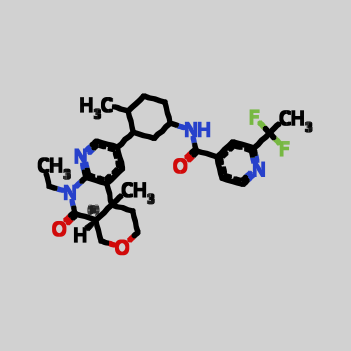 CCN1C(=O)[C@H]2COCCC2(C)c2cc(C3CC(NC(=O)c4ccnc(C(C)(F)F)c4)CCC3C)cnc21